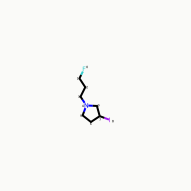 FCCCN1CCC(I)C1